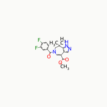 COC(=O)C1=CN(C(=O)c2ccc(F)c(F)c2)CC(C)(C)c2[nH]ncc21